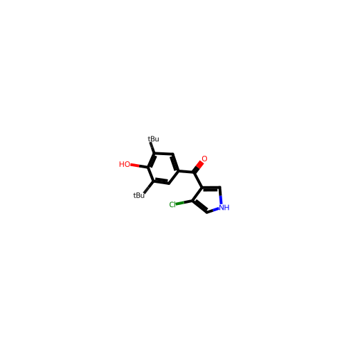 CC(C)(C)c1cc(C(=O)c2c[nH]cc2Cl)cc(C(C)(C)C)c1O